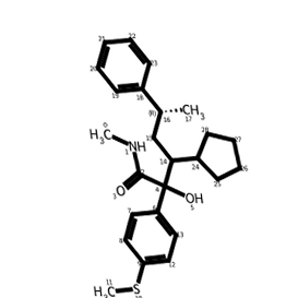 CNC(=O)C(O)(c1ccc(SC)cc1)C(C[C@@H](C)c1ccccc1)C1CCCC1